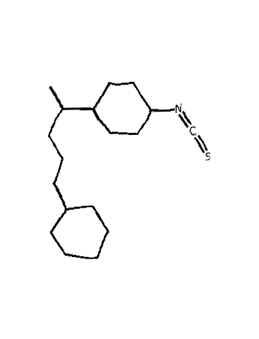 CC(CCCC1CCCCC1)C1CCC(N=C=S)CC1